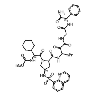 CCCC(NC(=O)C1C[C@@H](NS(=O)(=O)c2cccc3cccnc23)CN1C(=O)[C@@H](NC(=O)OCC(C)C)C1CCCCC1)C(=O)C(=O)NCC(=O)N[C@H](C(N)=O)c1ccccc1